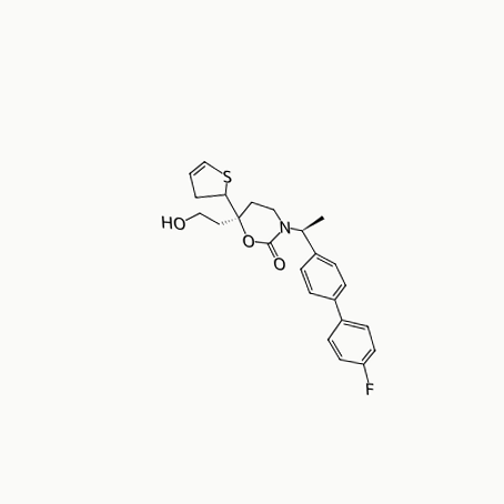 C[C@@H](c1ccc(-c2ccc(F)cc2)cc1)N1CC[C@](CCO)(C2CC=CS2)OC1=O